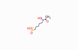 CC(=O)N(O)CCCCC[PH](=O)O